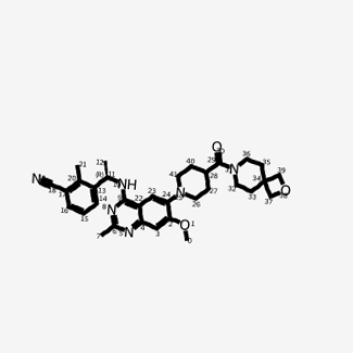 COc1cc2nc(C)nc(N[C@H](C)c3cccc(C#N)c3C)c2cc1N1CCC(C(=O)N2CCC3(CC2)COC3)CC1